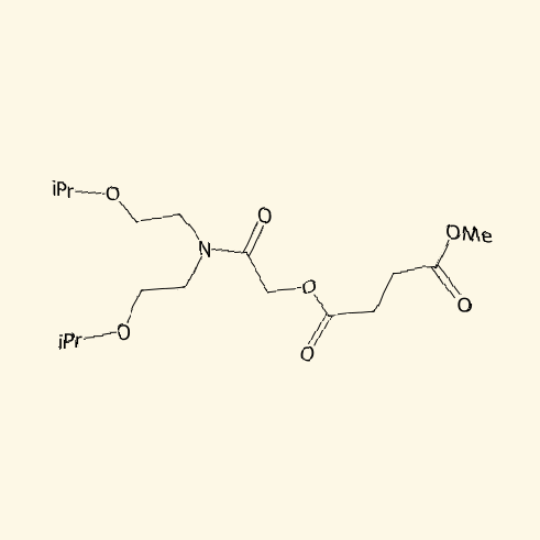 COC(=O)CCC(=O)OCC(=O)N(CCOC(C)C)CCOC(C)C